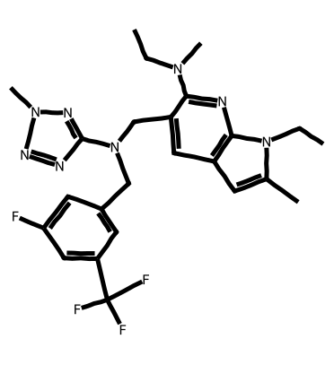 CCN(C)c1nc2c(cc1CN(Cc1cc(F)cc(C(F)(F)F)c1)c1nnn(C)n1)cc(C)n2CC